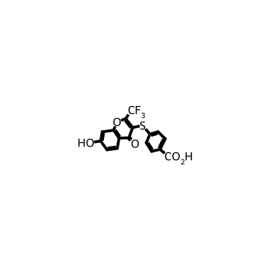 O=C(O)c1ccc(Sc2c(C(F)(F)F)oc3cc(O)ccc3c2=O)cc1